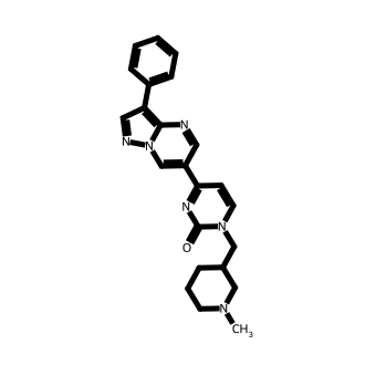 CN1CCCC(Cn2ccc(-c3cnc4c(-c5ccccc5)cnn4c3)nc2=O)C1